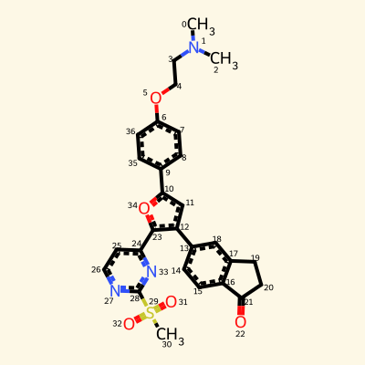 CN(C)CCOc1ccc(-c2cc(-c3ccc4c(c3)CCC4=O)c(-c3ccnc(S(C)(=O)=O)n3)o2)cc1